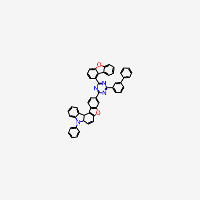 C1=CC2C(c3ccccc3N2c2ccccc2)c2c1oc1cc(-c3nc(-c4cccc(-c5ccccc5)c4)nc(-c4cccc5oc6ccccc6c45)n3)ccc21